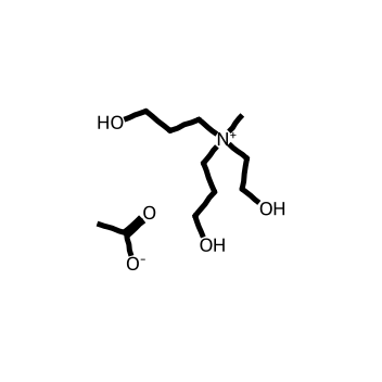 CC(=O)[O-].C[N+](CCO)(CCCO)CCCO